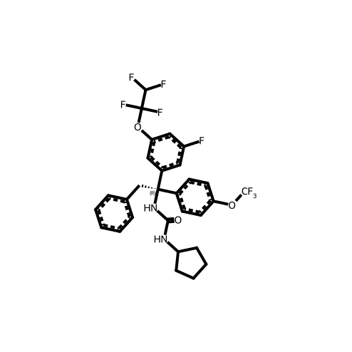 O=C(NC1CCCC1)N[C@](Cc1ccccc1)(c1ccc(OC(F)(F)F)cc1)c1cc(F)cc(OC(F)(F)C(F)F)c1